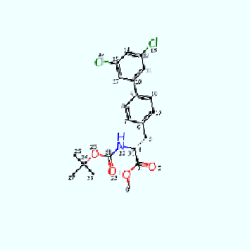 COC(=O)[C@@H](Cc1ccc(-c2cc(Cl)cc(Cl)c2)cc1)NC(=O)OC(C)(C)C